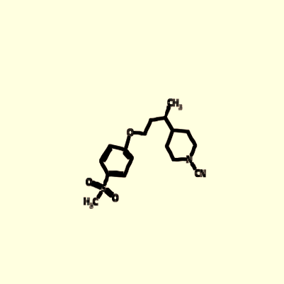 C[C@H](CCOc1ccc(S(C)(=O)=O)cc1)C1CCN(C#N)CC1